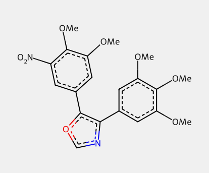 COc1cc(-c2ncoc2-c2cc(OC)c(OC)c([N+](=O)[O-])c2)cc(OC)c1OC